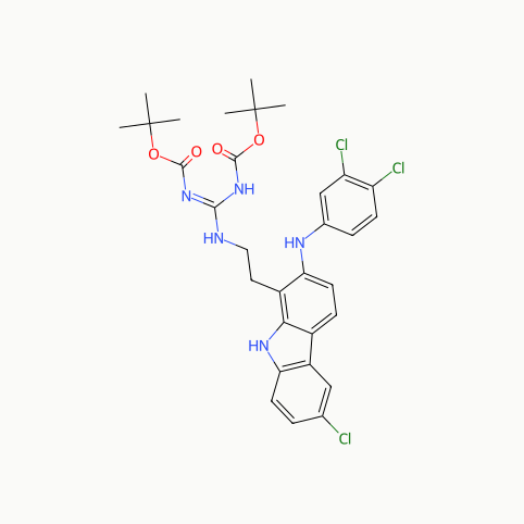 CC(C)(C)OC(=O)/N=C(/NCCc1c(Nc2ccc(Cl)c(Cl)c2)ccc2c1[nH]c1ccc(Cl)cc12)NC(=O)OC(C)(C)C